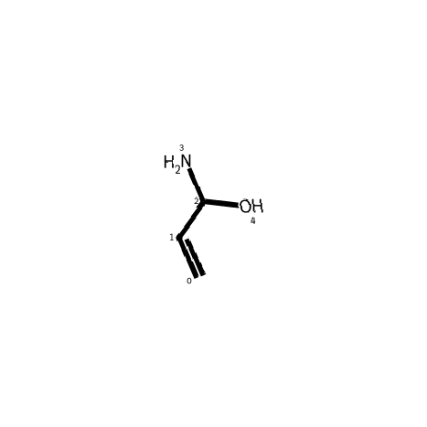 C=C[C](N)O